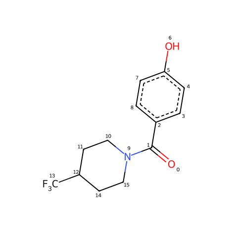 O=C(c1ccc(O)cc1)N1CCC(C(F)(F)F)CC1